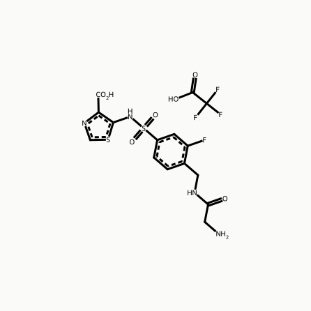 NCC(=O)NCc1ccc(S(=O)(=O)Nc2scnc2C(=O)O)cc1F.O=C(O)C(F)(F)F